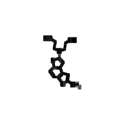 Nc1cc2c(ccc3sc(N(CCO)CCO)cc32)o1